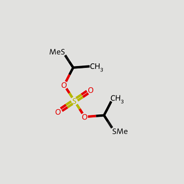 CSC(C)OS(=O)(=O)OC(C)SC